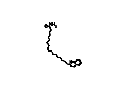 NC(=O)CCCCCCC/C=C\CCCCCCCCc1ccc2ccccc2n1